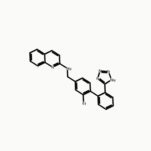 CCc1cc(CNc2ccc3ccccc3n2)ccc1-c1ccccc1-c1nnn[nH]1